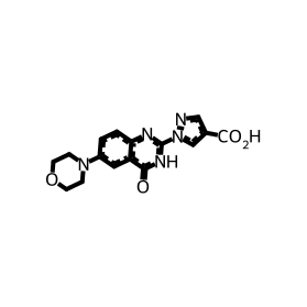 O=C(O)c1cnn(-c2nc3ccc(N4CCOCC4)cc3c(=O)[nH]2)c1